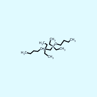 CCCCO[Si](CC)(CC)C[Si](CC)(CC)OCCCC